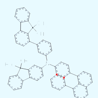 CC1(C)c2ccccc2-c2ccc(N(c3ccc(-c4cccc5cccc(-c6ccccc6)c45)cc3)c3cccc(-c4cccc5c4C(C)(C)c4ccccc4-5)c3)cc21